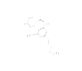 C=C(C)[C@@H]1CCC(C)=C[C@H]1c1c(O)cc(CCCCC#N)cc1O